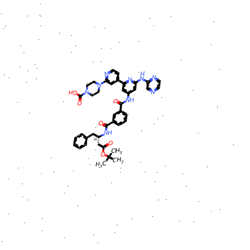 CC(C)(C)OC(=O)C[C@H](Cc1ccccc1)NC(=O)c1cccc(C(=O)Nc2cc(Nc3cnccn3)nc(-c3ccnc(N4CCN(C(=O)O)CC4)c3)c2)c1